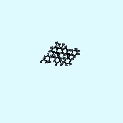 Cc1ccc(N2c3ccc(C)cc3B3c4cc(N(c5ccccc5)c5ccccc5)ccc4C(C)(C)c4c(C)ccc2c43)cc1